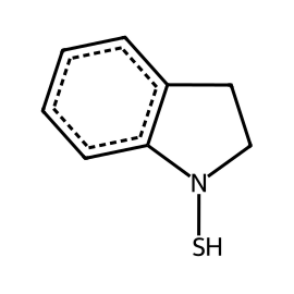 SN1CCc2ccccc21